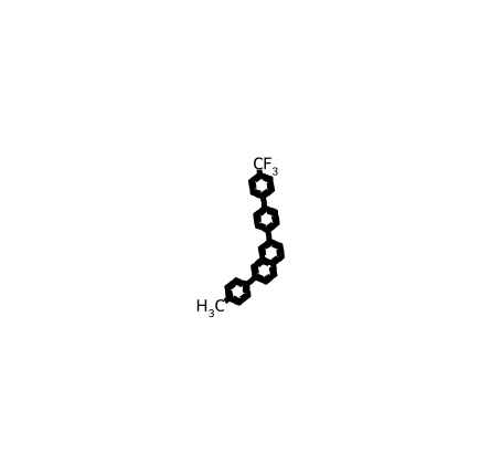 Cc1ccc(-c2ccc3ccc(-c4ccc(-c5ccc(C(F)(F)F)cc5)cc4)cc3c2)cc1